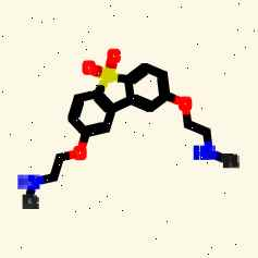 CCNCCOc1ccc2c(c1)-c1cc(OCCNCC)ccc1S2(=O)=O